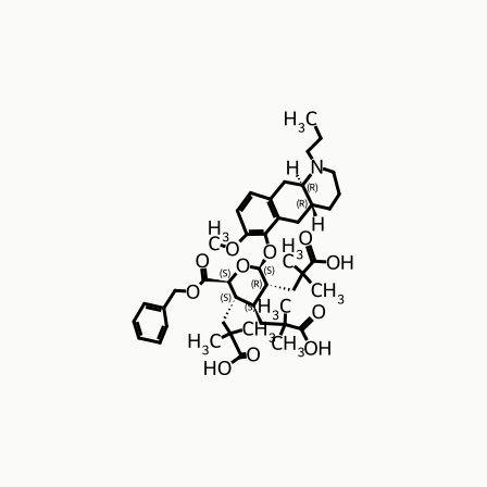 CCCN1CCC[C@@H]2Cc3c(ccc(OC)c3O[C@@H]3O[C@H](C(=O)OCc4ccccc4)[C@@H](CC(C)(C)C(=O)O)[C@H](CC(C)(C)C(=O)O)[C@H]3CC(C)(C)C(=O)O)C[C@H]21